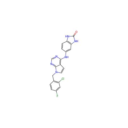 O=c1[nH]c2ccc(Nc3ncnc4c3ccn4Cc3ccc(F)cc3Cl)cc2[nH]1